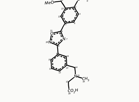 CCC(C)Oc1ccc(-c2nc(-c3cccc(CN(C)CC(=O)O)c3)no2)cc1COC